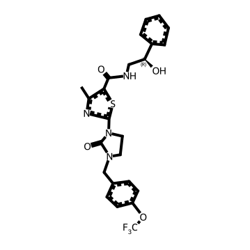 Cc1nc(N2CCN(Cc3ccc(OC(F)(F)F)cc3)C2=O)sc1C(=O)NC[C@H](O)c1ccccc1